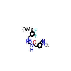 CCn1ncc2cc(CC(=O)Nc3cnn(Cc4cc(F)c(F)c(OC)c4)n3)ccc21